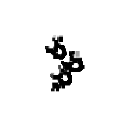 On1ccccc1=S.On1ccccc1=S.On1ccccc1=S.[NaH].[Zn]